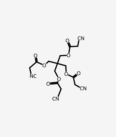 [C-]#[N+]CC(=O)OCC(COC(=O)CC#N)(COC(=O)CC#N)COC(=O)C[N+]#[C-]